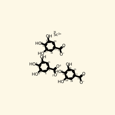 O=C([O-])c1cc(O)c(O)c(O)c1.O=C([O-])c1cc(O)c(O)c(O)c1.O=C([O-])c1cc(O)c(O)c(O)c1.[Sc+3]